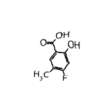 Cc1cc(C(=O)O)c(O)cc1F